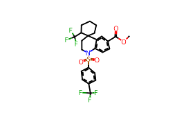 COC(=O)c1ccc2c(c1)C1(CCCCC1C(F)(F)F)CCN2S(=O)(=O)c1ccc(C(F)(F)F)cc1